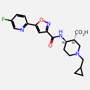 O=C(N[C@@H]1CCN(CC2CC2)C[C@H]1C(=O)O)c1cc(-c2ccc(F)cn2)on1